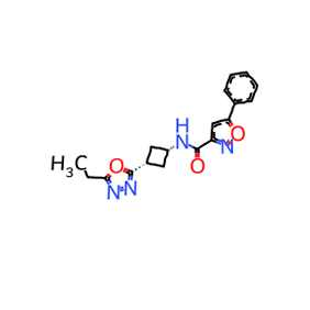 CCc1nnc([C@H]2C[C@@H](NC(=O)c3cc(-c4ccccc4)on3)C2)o1